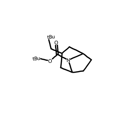 CC(C)(C)CC1CC2CCC(C1)N2C(=O)OC(C)(C)C